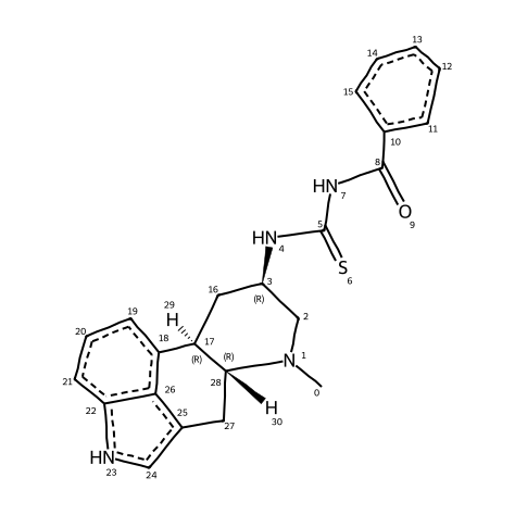 CN1C[C@H](NC(=S)NC(=O)c2ccccc2)C[C@@H]2c3cccc4[nH]cc(c34)C[C@H]21